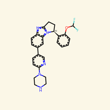 FC(F)Oc1ccccc1[C@@H]1CCc2nc3ccc(-c4ccc(N5CCNCC5)nc4)cc3n21